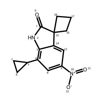 O=C1Nc2c(C3CC3)cc([N+](=O)[O-])cc2C12CCC2